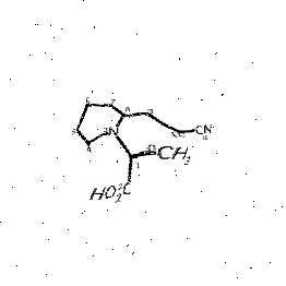 CC(C(=O)O)N1CCCCC1CCC#N